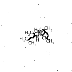 C=C/C=C\C(C(=C)N(C)B/C(=C/C=C(C)C)C(=C)C)=C(C)C